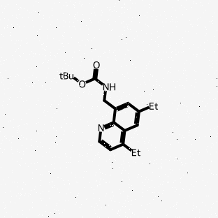 CCc1cc(CNC(=O)OC(C)(C)C)c2nccc(CC)c2c1